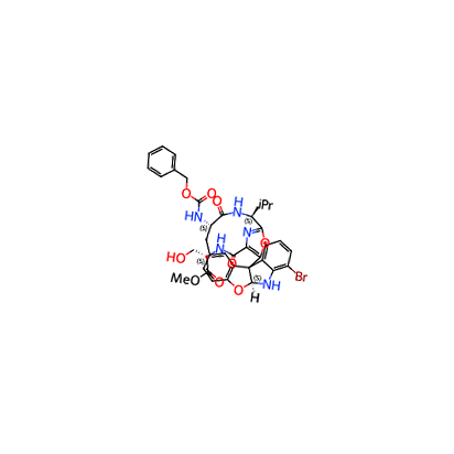 COC(=O)[C@H](CO)NC(=O)c1nc2oc1C13c4cc(ccc4O[C@@H]1Nc1c(Br)cccc13)C[C@H](NC(=O)OCc1ccccc1)C(=O)N[C@H]2C(C)C